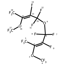 FC(=C(OC(F)(F)F)C(F)(F)F)C(F)(F)OC(F)(F)C(F)=C(OC(F)(F)F)C(F)(F)F